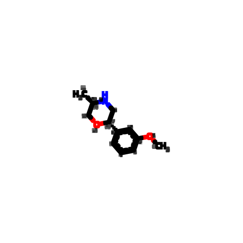 COc1cccc([C@H]2CN[C@H](C)CO2)c1